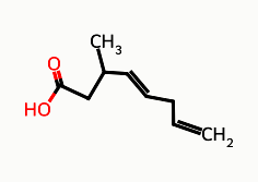 C=CC/C=C/C(C)CC(=O)O